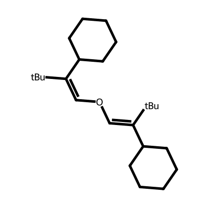 CC(C)(C)C(=COC=C(C1CCCCC1)C(C)(C)C)C1CCCCC1